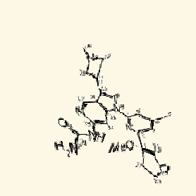 CO[C@@]1(c2cc(C)cc(-n3cc(C4CN(C)C4)c4cnc(NC(N)=O)cc43)n2)CCOC1